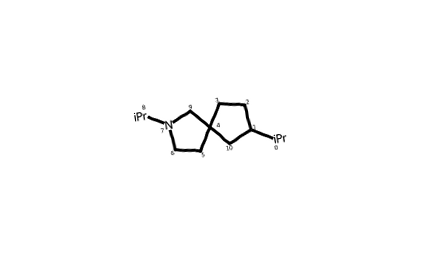 CC(C)C1CCC2(CCN(C(C)C)C2)C1